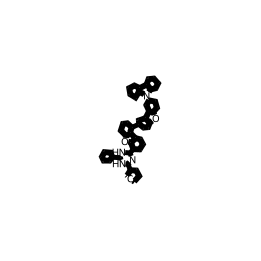 c1ccc(C2=NC(c3cccc4c3oc3cccc(-c5ccc6oc7ccc(-n8c9ccccc9c9ccccc98)cc7c6c5)c34)NC(c3ccccc3)N2)cc1